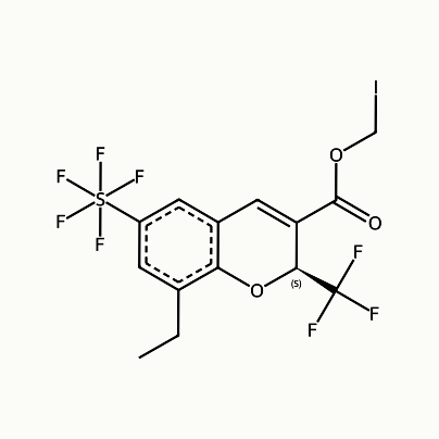 CCc1cc(S(F)(F)(F)(F)F)cc2c1O[C@H](C(F)(F)F)C(C(=O)OCI)=C2